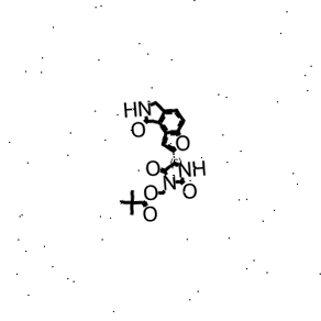 CC(C)(C)C(=O)OCN1C(=O)N[C@@H](c2cc3c4c(ccc3o2)CNC4=O)C1=O